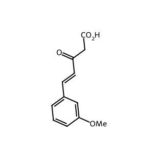 COc1cccc(C=CC(=O)CC(=O)O)c1